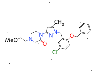 COCCN1CCN(c2cc(C)n(Cc3cc(Cl)ccc3OCc3ccccc3)n2)C(=O)C1